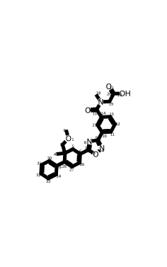 COCC1(C)CC(c2nc(-c3cccc(C(=O)N(C)CC(=O)O)c3)no2)=CC=C1c1ccccc1